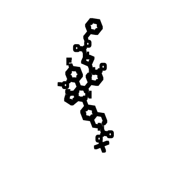 COc1cc(F)ccc1-c1c(-c2ccc(=O)n(C3CN(C(=O)OCc4ccccc4)C3)c2)nc(-c2ccc3c(c2)CCN(C(=O)OC(C)(C)C)C3)c2ccsc12